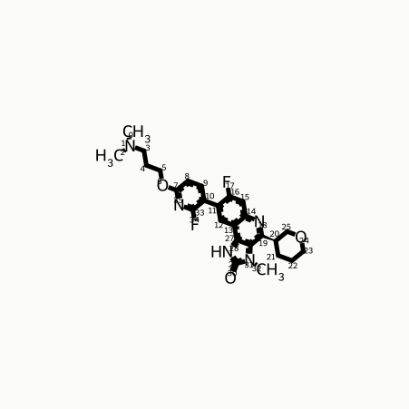 CN(C)CCCOc1ccc(-c2cc3c(cc2F)nc([C@@H]2CCCOC2)c2c3[nH]c(=O)n2C)c(F)n1